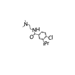 CC(C)c1cc(C(=O)NCCN(C)C)ccc1Cl